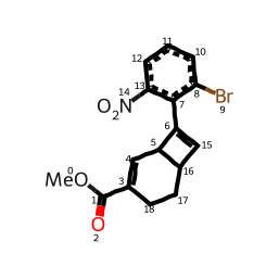 COC(=O)C1=CC2C(c3c(Br)cccc3[N+](=O)[O-])=CC2CC1